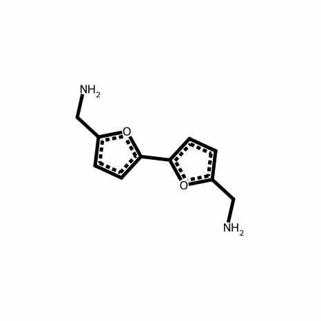 NCc1ccc(-c2ccc(CN)o2)o1